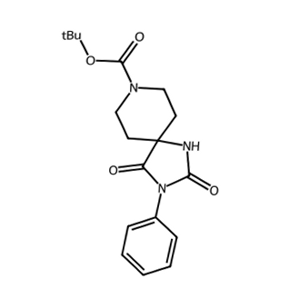 CC(C)(C)OC(=O)N1CCC2(CC1)NC(=O)N(c1ccccc1)C2=O